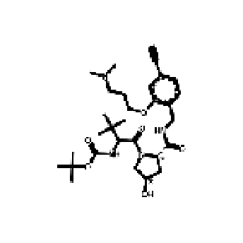 C#Cc1ccc(CNC(=O)[C@@H]2C[C@@H](O)CN2C(=O)C(NC(=O)OC(C)(C)C)C(C)(C)C)c(OCCCN(C)C)c1